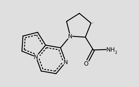 NC(=O)C1[CH]CCN1c1nccn2cccc12